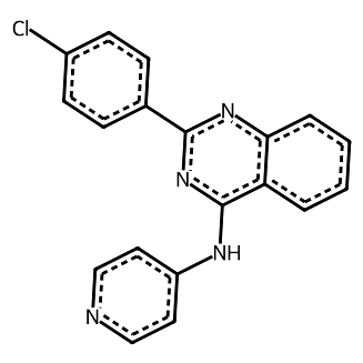 Clc1ccc(-c2nc(Nc3ccncc3)c3ccccc3n2)cc1